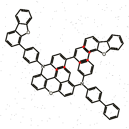 c1ccc(-c2ccc(N(c3ccc(-c4cccc5c4oc4ccccc45)cc3)c3cccc4c3-c3cccc5c(N(c6ccc(-c7ccccc7)cc6)c6ccc(-c7cccc8c7oc7ccccc78)cc6)ccc(c35)O4)cc2)cc1